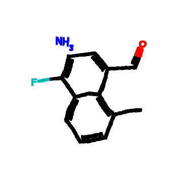 Cc1cccc2c(F)ccc(C=O)c12.N